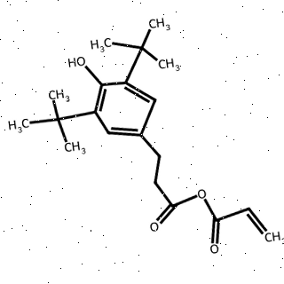 C=CC(=O)OC(=O)CCc1cc(C(C)(C)C)c(O)c(C(C)(C)C)c1